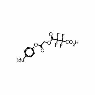 CC(C)(C)c1ccc(OC(=O)COC(=O)C(F)(F)C(F)(F)C(=O)O)cc1